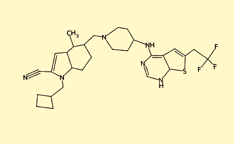 CC1C(CN2CCC(NC3=C4C=C(CC(F)(F)F)SC4NC=N3)CC2)CCC2C1C=C(C#N)N2CC1CCC1